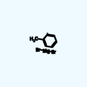 Cc1[c]cccc1.[Br][Mg][Br]